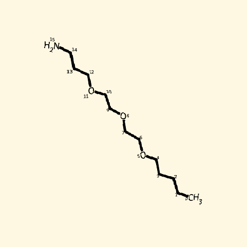 CCCCCOCCOCCOCCCN